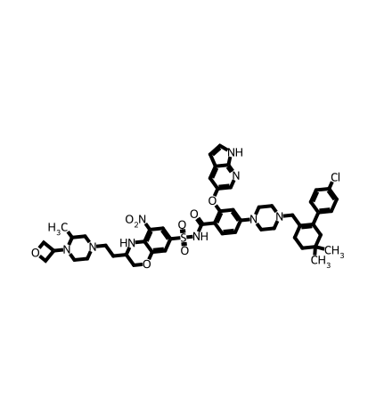 CC1CN(CCC2COc3cc(S(=O)(=O)NC(=O)c4ccc(N5CCN(CC6=C(c7ccc(Cl)cc7)CC(C)(C)CC6)CC5)cc4Oc4cnc5[nH]ccc5c4)cc([N+](=O)[O-])c3N2)CCN1C1COC1